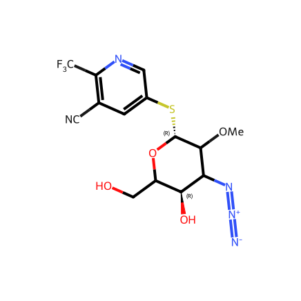 COC1C(N=[N+]=[N-])[C@@H](O)C(CO)O[C@@H]1Sc1cnc(C(F)(F)F)c(C#N)c1